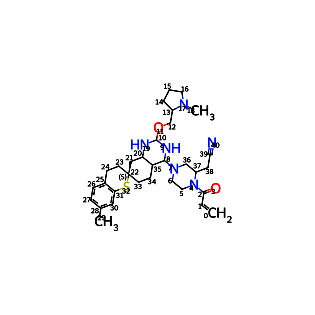 C=CC(=O)N1CCN(C2NC(OCC3CCCN3C)NC3C[C@@]4(CCc5ccc(C)cc5S4)CCC32)CC1CC#N